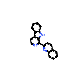 c1ccc2nc(-c3nccc4c3[nH]c3ccccc34)ccc2c1